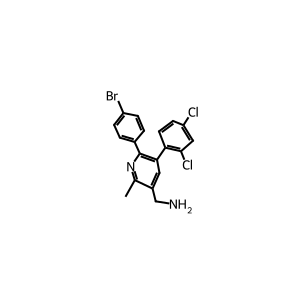 Cc1nc(-c2ccc(Br)cc2)c(-c2ccc(Cl)cc2Cl)cc1CN